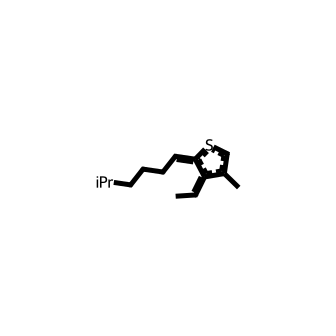 C/C=c1/c(C)cs/c1=C/CCCC(C)C